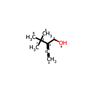 C=C=C(CO)C(C)(C)C